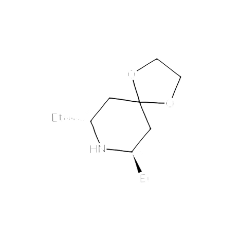 CC[C@@H]1CC2(C[C@@H](CC)N1)OCCO2